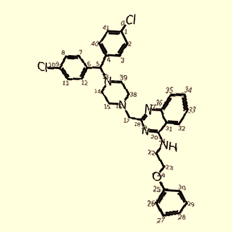 Clc1ccc(C(c2ccc(Cl)cc2)N2CCN(Cc3nc(NCCOc4ccccc4)c4ccccc4n3)CC2)cc1